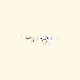 CC(=O)N1C=C(NC(C)(C)C)C12CCCC2CCCBOC(C)(C)C(C)(C)S